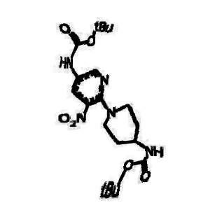 CC(C)(C)OC(=O)Nc1cnc(N2CCC(NC(=O)OC(C)(C)C)CC2)c([N+](=O)[O-])c1